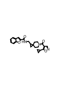 O=C(NCC1CC12CCN(C(=O)c1cnoc1C1CC1)CC2)c1cc2ccccc2o1